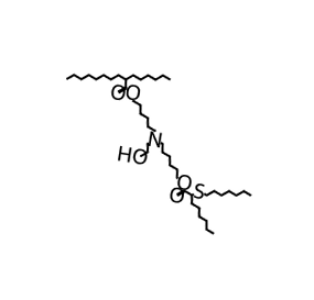 CCCCCCCCC(CCCCCC)C(=O)OCCCCCCN(CCO)CCCCCCOC(=O)C(CCCCCC)SCCCCCCC